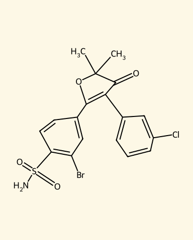 CC1(C)OC(c2ccc(S(N)(=O)=O)c(Br)c2)=C(c2cccc(Cl)c2)C1=O